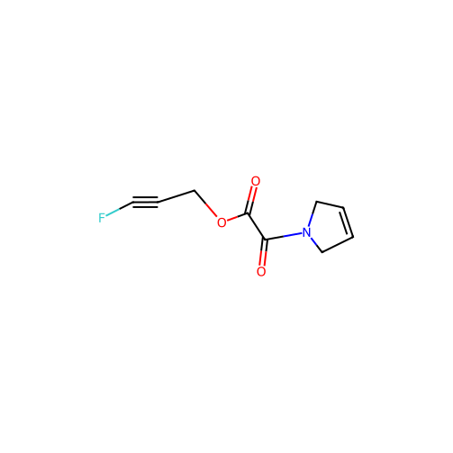 O=C(OCC#CF)C(=O)N1CC=CC1